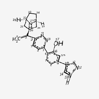 C=C(c1ccc(-c2ccc(-c3cn[nH]c3)cc2O)nn1)[C@H]1C[C@H]2CC[C@@H](C1)N2